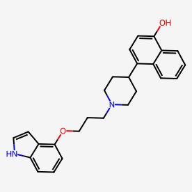 Oc1ccc(C2CCN(CCCOc3cccc4[nH]ccc34)CC2)c2ccccc12